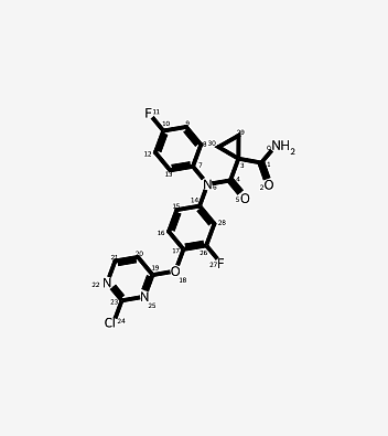 NC(=O)C1(C(=O)N(c2ccc(F)cc2)c2ccc(Oc3ccnc(Cl)n3)c(F)c2)CC1